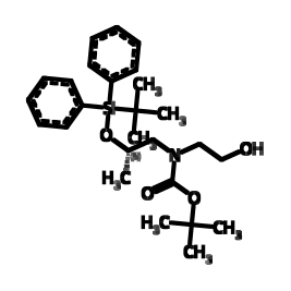 C[C@@H](CN(CCO)C(=O)OC(C)(C)C)O[Si](c1ccccc1)(c1ccccc1)C(C)(C)C